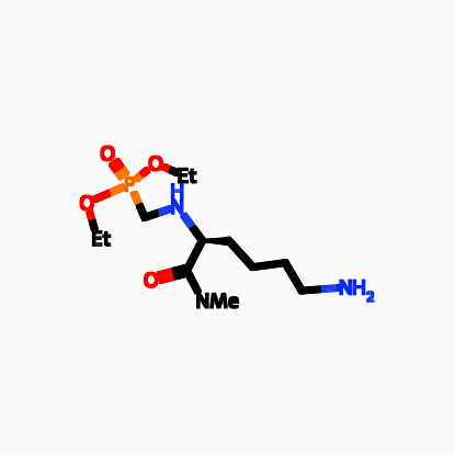 CCOP(=O)(CN[C@@H](CCCCN)C(=O)NC)OCC